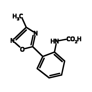 Cc1noc(-c2ccccc2NC(=O)O)n1